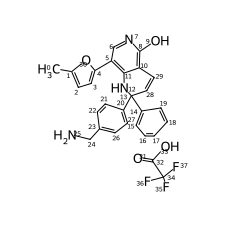 Cc1ccc(-c2cnc(O)c3c2NC(c2ccccc2)(c2ccc(CN)cc2)C=C3)o1.O=C(O)C(F)(F)F